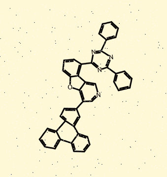 c1ccc(-c2nc(-c3ccccc3)nc(-c3cccc4oc5c(-c6ccc7c8ccccc8c8ccccc8c7c6)cncc5c34)n2)cc1